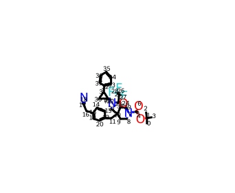 CC(C)(C)OC(=O)N1CCC(Cc2ccc(CC#N)cc2)(CN(C(=O)C(F)(F)F)[C@@H]2CC2c2ccccc2)CC1